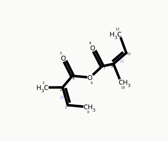 C/C=C(/C)C(=O)OC(=O)/C(C)=C\C